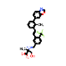 Cc1c(C=Cc2cc(CNC(C)(CO)C(=O)O)ccc2C(F)(F)F)cccc1-c1ccc2ncoc2c1